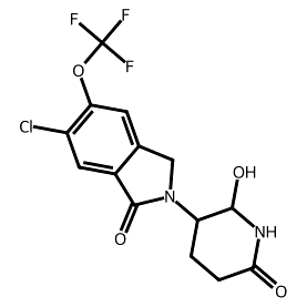 O=C1CCC(N2Cc3cc(OC(F)(F)F)c(Cl)cc3C2=O)C(O)N1